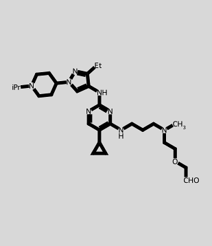 CCc1nn(C2CCN(C(C)C)CC2)cc1Nc1ncc(C2CC2)c(NCCCN(C)CCOCC=O)n1